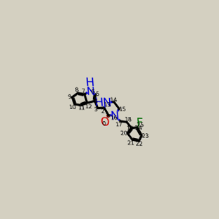 O=C1C(Cc2c[nH]c3ccccc23)NCCN1CCc1ccccc1F